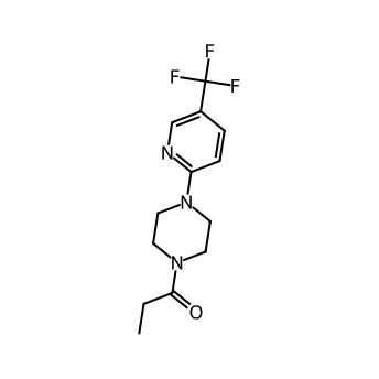 CCC(=O)N1CCN(c2ccc(C(F)(F)F)cn2)CC1